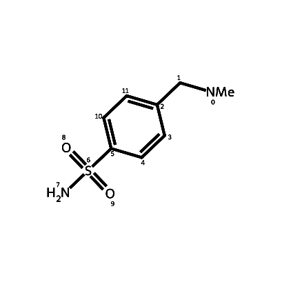 CNCc1ccc(S(N)(=O)=O)cc1